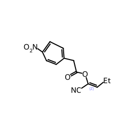 CC/C=C(/C#N)OC(=O)Cc1ccc([N+](=O)[O-])cc1